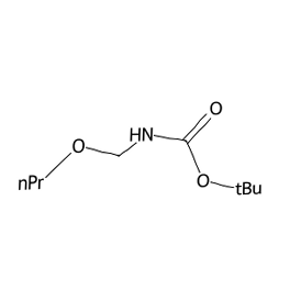 CCCOCNC(=O)OC(C)(C)C